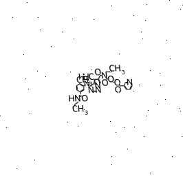 CCCNC(=O)c1ccc(C)c(Nc2ncnn3cc(C(=O)N(CCC)C(=O)OCOC(=O)c4cccnc4)c(C)c23)c1